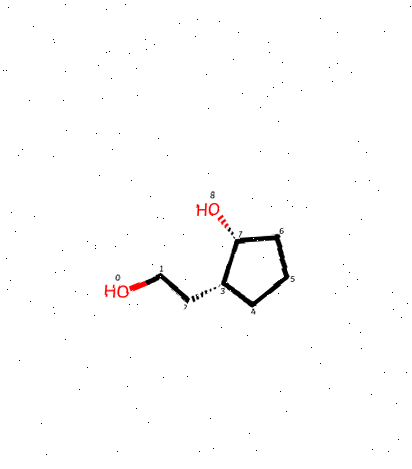 OCC[C@H]1CCC[C@H]1O